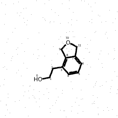 OCCc1cccc2c1COC2